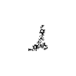 CC(C)(/C(=N\OCC(=O)OCc1ccc(C=O)cc1)c1ccc(S)cc1)N1CCOCC1